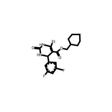 CCC1=C(C(=O)OCC2CCCCC2)C(c2cc(F)cc(F)c2)NC(=O)N1